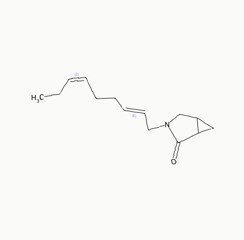 CC/C=C\CC/C=C/CN1CC2CC2C1=O